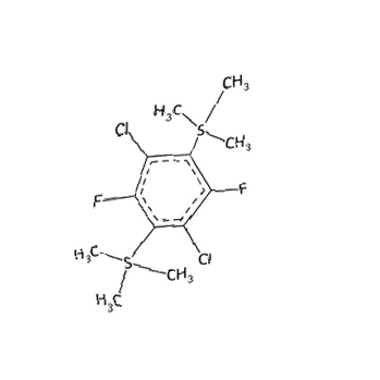 CS(C)(C)c1c(F)c(Cl)c(S(C)(C)C)c(F)c1Cl